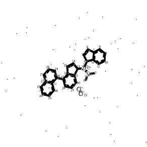 C[Si](C)=[Zr+2]([CH]1C=Cc2ccccc21)[CH]1C=Cc2c(-c3cccc4ccccc34)cccc21.[Cl-].[Cl-]